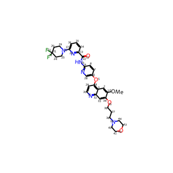 COc1cc2c(Oc3ccc(NC(=O)c4cccc(N5CCC(F)(F)CC5)n4)nc3)ccnc2cc1OCCCN1CCOCC1